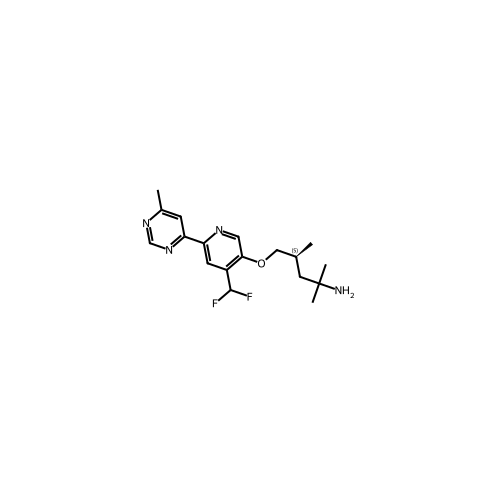 Cc1cc(-c2cc(C(F)F)c(OC[C@@H](C)CC(C)(C)N)cn2)ncn1